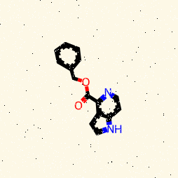 O=C(OCc1ccccc1)c1nccc2[nH]ccc12